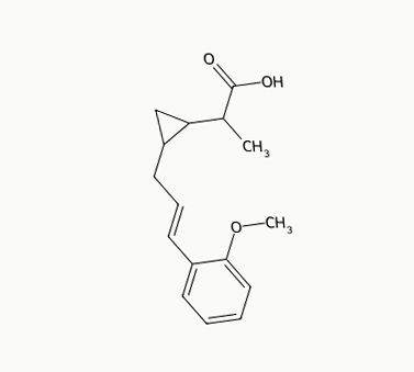 COc1ccccc1C=CCC1CC1C(C)C(=O)O